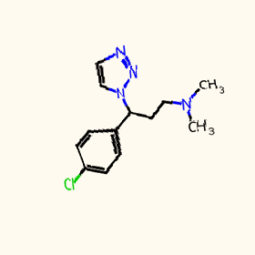 CN(C)CCC(c1ccc(Cl)cc1)n1ccnn1